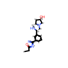 CCc1nc(-c2cccc([C@@H](CN3CC[C@H](O)C3)NC)c2)no1